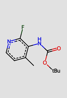 Cc1ccnc(F)c1NC(=O)OC(C)(C)C